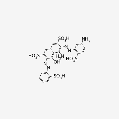 Nc1ccc(S(=O)(=O)O)c(N=Nc2c(S(=O)(=O)O)cc3cc(S(=O)(=O)O)c(N=Nc4ccccc4S(=O)(=O)O)c(O)c3c2N)c1